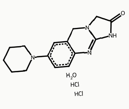 Cl.Cl.O.O=C1CN2Cc3cc(N4CCCCC4)ccc3N=C2N1